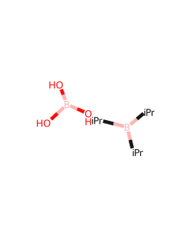 CC(C)B(C(C)C)C(C)C.OB(O)O